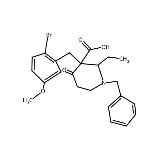 CCC1N(Cc2ccccc2)CCC(=O)C1(Cc1cc(OC)ccc1Br)C(=O)O